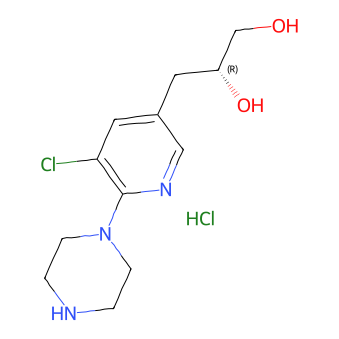 Cl.OC[C@H](O)Cc1cnc(N2CCNCC2)c(Cl)c1